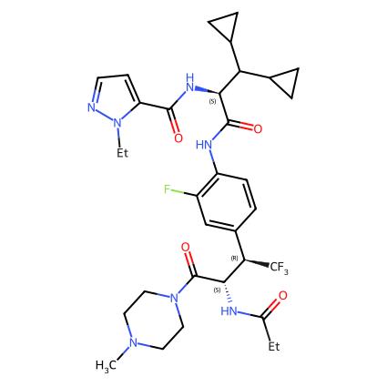 CCC(=O)N[C@H](C(=O)N1CCN(C)CC1)[C@@H](c1ccc(NC(=O)[C@@H](NC(=O)c2ccnn2CC)C(C2CC2)C2CC2)c(F)c1)C(F)(F)F